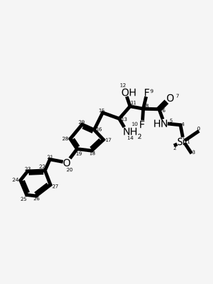 C[Si](C)(C)CNC(=O)C(F)(F)C(O)C(N)Cc1ccc(OCc2ccccc2)cc1